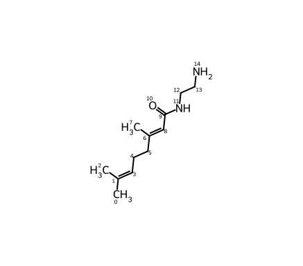 CC(C)=CCC/C(C)=C/C(=O)NCCN